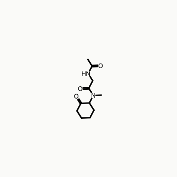 CC(=O)NCC(=O)N(C)C1CCCCC1=O